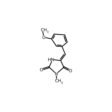 COc1cccc(/C=C2\NC(=O)N(C)C2=O)c1